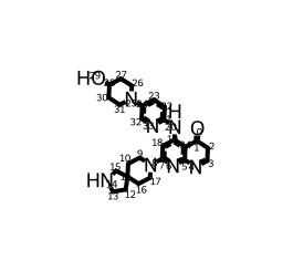 O=C1CC=Nc2nc(N3CCC4(CCNC4)CC3)cc(Nc3ccc(N4CCC(O)CC4)cn3)c21